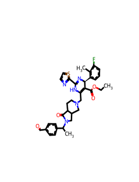 CCOC(=O)C1=C(CN2CCC3C(=O)N(C(C)c4ccc(C=O)cc4)CC3C2)NC(c2nccs2)=N[C@H]1c1cccc(F)c1C